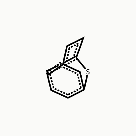 c1cc2cc3ccc2cc1S3